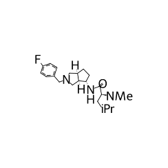 CN[C@@H](CC(C)C)C(=O)N[C@H]1CC[C@@H]2CN(Cc3ccc(F)cc3)C[C@@H]21